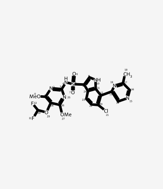 COc1nc(NS(=O)(=O)c2c[nH]c3c(-c4cncc(C)n4)c(Cl)ccc23)nc(OC)c1OC(F)F